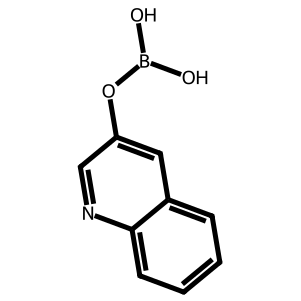 OB(O)Oc1cnc2ccccc2c1